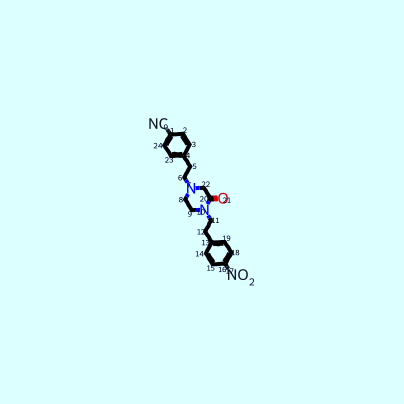 N#Cc1ccc(CCN2CCN(CCc3ccc([N+](=O)[O-])cc3)C(=O)C2)cc1